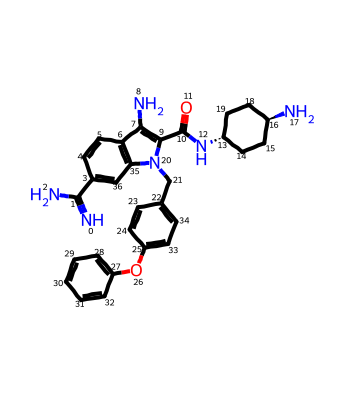 N=C(N)c1ccc2c(N)c(C(=O)N[C@H]3CC[C@H](N)CC3)n(Cc3ccc(Oc4ccccc4)cc3)c2c1